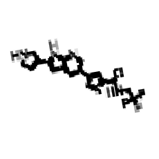 O=C(NCC(F)(F)F)c1cc(-c2cnc3[nH]c(C4=CCNC4)cc3c2)cs1